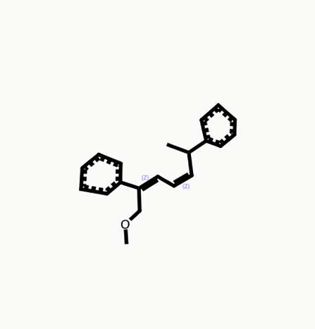 COC/C(=C\C=C/C(C)c1ccccc1)c1ccccc1